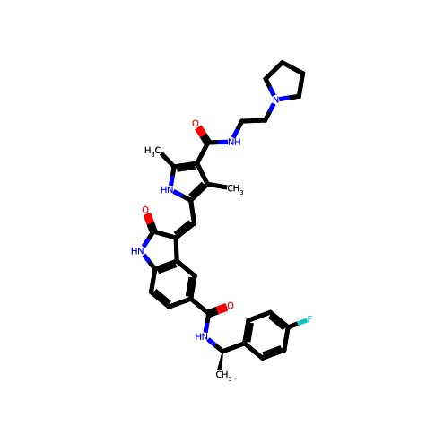 Cc1[nH]c(/C=C2\C(=O)Nc3ccc(C(=O)N[C@H](C)c4ccc(F)cc4)cc32)c(C)c1C(=O)NCCN1CCCC1